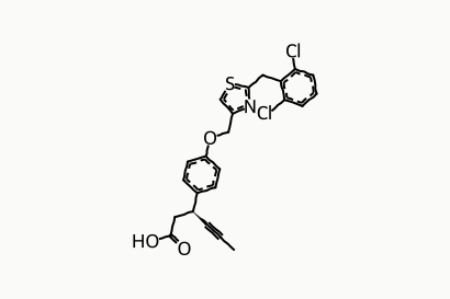 CC#C[C@@H](CC(=O)O)c1ccc(OCc2csc(Cc3c(Cl)cccc3Cl)n2)cc1